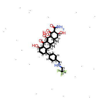 NC(=O)C1C(=O)[C@@]2(O)C(O)=C3C(=O)c4c(O)ccc(-c5ccc(CNCC(F)(F)F)cc5)c4C[C@H]3C[C@H]2CC1O